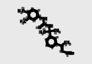 CO/N=C(\C)c1cccc(C(C)(C)NC(=O)Nc2ccc(C)c(C(F)(F)F)c2)c1